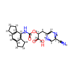 N#Cc1cnc(CC(OC(=O)Nc2c3c(cc4c2CCC4)CCC3)C(=O)O)cn1